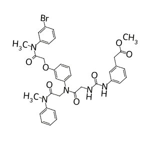 COC(=O)Cc1cccc(NC(=O)NCC(=O)N(CC(=O)N(C)c2ccccc2)c2cccc(OCC(=O)N(C)c3cccc(Br)c3)c2)c1